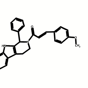 COc1ccc(C=CC(=O)N2CCc3c([nH]c4ccccc34)C2c2ccccc2)cc1